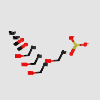 C=O.C=O.CC(=O)CO.CC(=O)CO.CC(=O)CO.CC(=O)CO.O=S([O-])[O-].[Na+].[Na+]